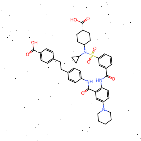 O=C(O)c1ccc(CCc2ccc(NC(=O)c3cc(N4CCCCC4)ccc3NC(=O)c3cccc(S(=O)(=O)N(C4CC4)[C@H]4CC[C@H](C(=O)O)CC4)c3)cc2)cc1